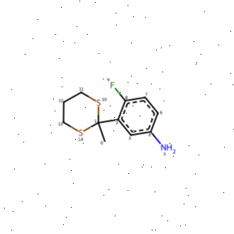 CC1(c2cc(N)ccc2F)SCCCS1